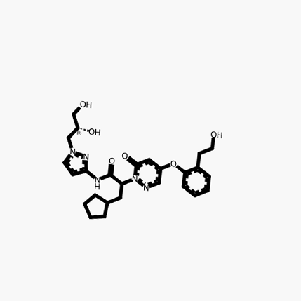 O=C(Nc1ccn(C[C@@H](O)CO)n1)C(CC1CCCC1)n1ncc(Oc2ccccc2CCO)cc1=O